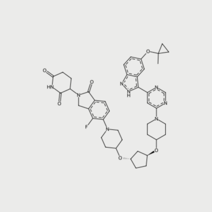 CC1(Oc2ccc3n[nH]c(-c4cc(N5CCC(O[C@H]6CC[C@H](OC7CCN(c8ccc9c(c8F)CN(C8CCC(=O)NC8=O)C9=O)CC7)C6)CC5)ncn4)c3c2)CC1